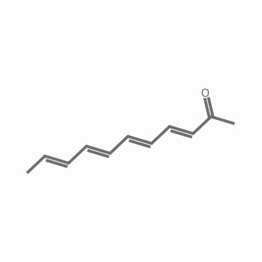 C/C=C/C=C/C=C/C=C/C(C)=O